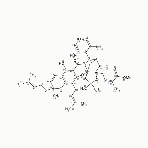 C=C(N)C(/C(N)=N\O)C1C2CC3C(C)(C)OC(C/C=C(/C)C(=O)OC)(C2=O)C32Oc3c(CC=C(C)C)c4c(c(O)c3C(=O)C12)C=CC(C)(CCC=C(C)C)O4